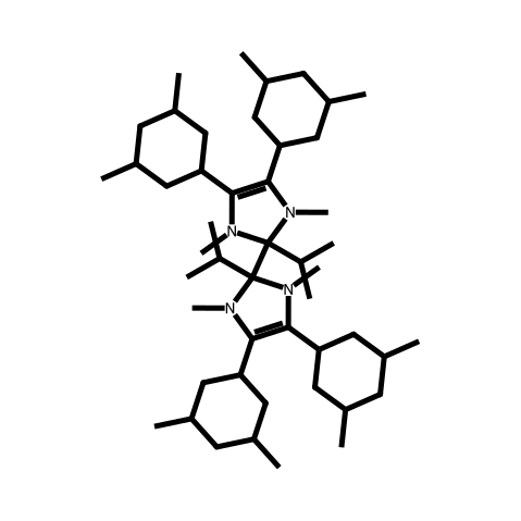 CC1CC(C)CC(C2=C(C3CC(C)CC(C)C3)N(C)C(C(C)C)(C3(C(C)C)N(C)C(C4CC(C)CC(C)C4)=C(C4CC(C)CC(C)C4)N3C)N2C)C1